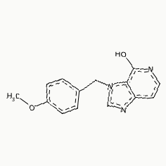 COc1ccc(Cn2cnc3ccnc(O)c32)cc1